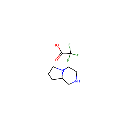 C1CC2CNCCN2C1.O=C(O)C(F)(F)F